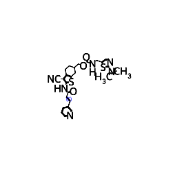 CN(C)c1ncc(CNC(=O)OCC2CCc3c(sc(NC(=O)/C=C/c4cccnc4)c3C#N)C2)s1